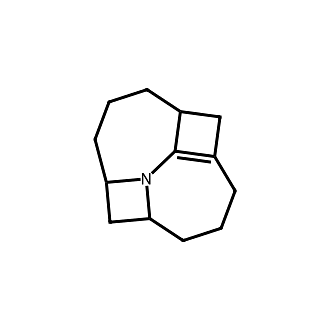 C1CC2=C3C(CCCC4CC(C1)N34)C2